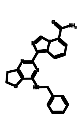 NC(=O)c1cccc2c(-c3nc4c(c(NCc5ccccc5)n3)OCC4)ncn12